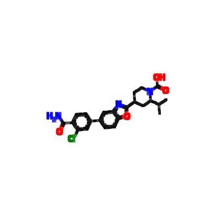 CC(C)C1CC(c2nc3cc(-c4ccc(C(N)=O)c(Cl)c4)ccc3o2)CCN1C(=O)O